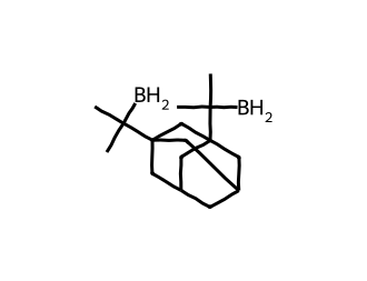 BC(C)(C)C12CC3CC(C1)CC(C(B)(C)C)(C3)C2